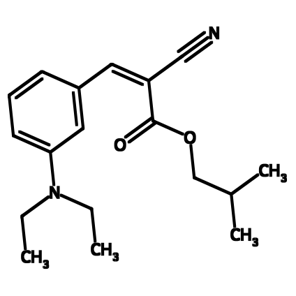 CCN(CC)c1cccc(C=C(C#N)C(=O)OCC(C)C)c1